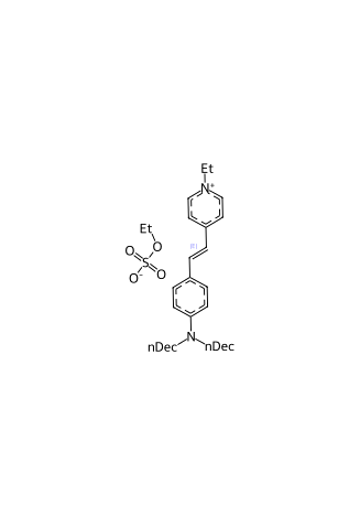 CCCCCCCCCCN(CCCCCCCCCC)c1ccc(/C=C/c2cc[n+](CC)cc2)cc1.CCOS(=O)(=O)[O-]